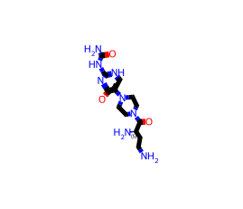 NCC[C@H](N)C(=O)N1CCN(c2c[nH]c(NC(N)=O)nc2=O)CC1